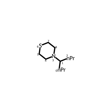 CCCC(CCC)N1CCSCC1